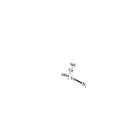 [Ce].[Fe][Zr].[NaH].[Nd]